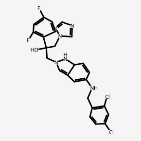 OC(CN1C=C2C=C(NCc3ccc(Cl)cc3Cl)C=CC2N1)(Cn1cncn1)c1ccc(F)cc1F